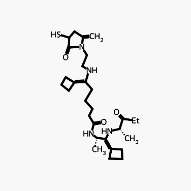 C=C1CC(S)C(=O)N1CCNC(CCCCC(=O)N[C@@H](C)C(N[C@@H](C)C(=O)CC)=C1CCC1)=C1CCC1